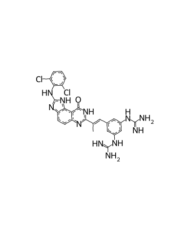 C/C(=C\c1cc(NC(=N)N)cc(NC(=N)N)c1)c1nc2ccc3nc(Nc4c(Cl)cccc4Cl)[nH]c3c2c(=O)[nH]1